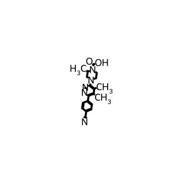 Cc1c(-c2ccc(C#N)cc2)nnc(N2CCN(C(=O)O)C(C)C2)c1C